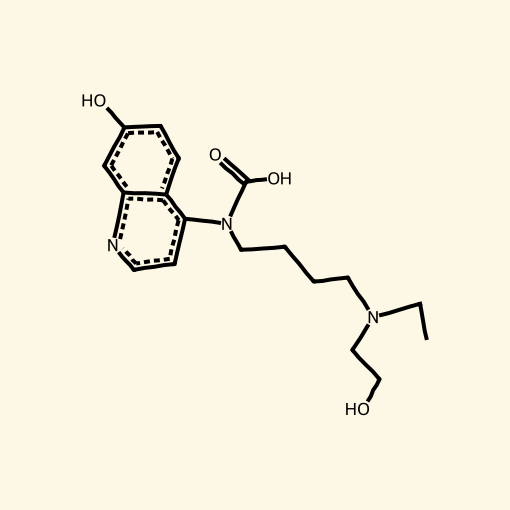 CCN(CCO)CCCCN(C(=O)O)c1ccnc2cc(O)ccc12